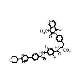 Cn1c(=O)n(-c2ccc(C[C@H](NC(=O)c3cc(F)c(N[S+]([O-])c4ccc(-c5cnc(C6CCOCC6)nc5)cc4)cc3F)C(=O)O)cc2)c(=O)c2ccncc21